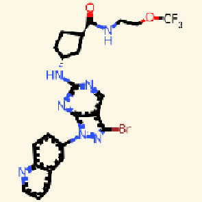 O=C(NCCOC(F)(F)F)[C@@H]1CC[C@@H](Nc2ncc3c(Br)nn(-c4ccc5ncccc5c4)c3n2)C1